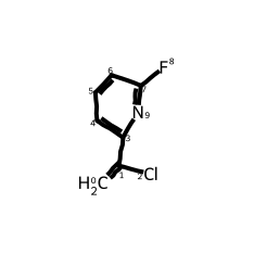 C=C(Cl)c1cccc(F)n1